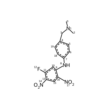 CN(C)Cc1ccc(Nc2cc(F)c([N+](=O)[O-])cc2[N+](=O)[O-])cc1